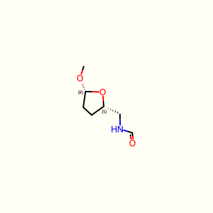 CO[C@H]1CC[C@@H](CNC=O)O1